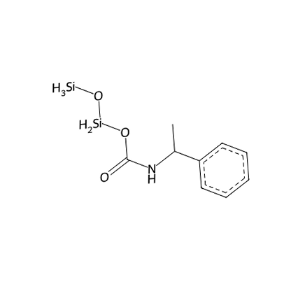 CC(NC(=O)O[SiH2]O[SiH3])c1ccccc1